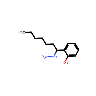 CCCCCCC(NN)c1ccccc1O